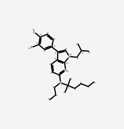 CCCCC(C)(C)N(CCC)c1ccc2c(-c3ccc(F)c(F)c3)cn(CC(C)C)c2n1